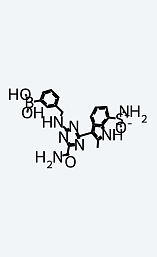 Cc1[nH]c2c([S+](N)[O-])cccc2c1-c1nc(NCc2cccc(B(O)O)c2)nc(C(N)=O)n1